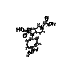 CNc1ccc(N(C2CCN(C(=O)O)CC2)S(=O)(=O)O)cc1